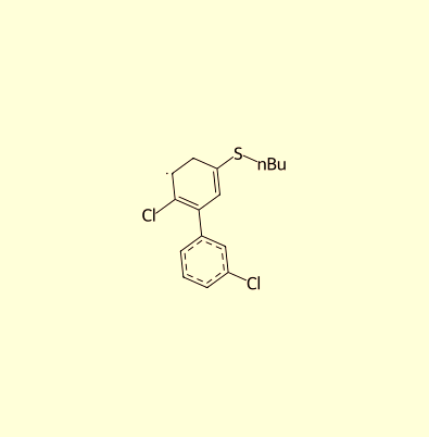 CCCCSC1=CC(c2cccc(Cl)c2)=C(Cl)[CH]C1